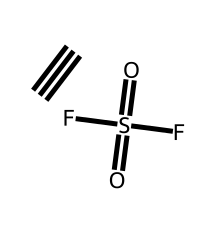 C#C.O=S(=O)(F)F